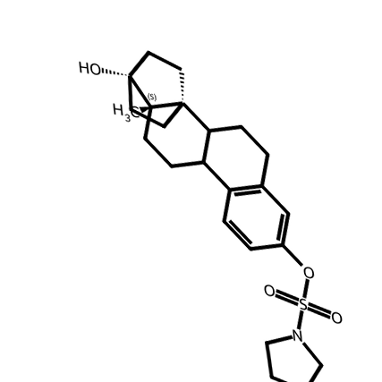 C[C@]12CCC3c4ccc(OS(=O)(=O)N5CCCC5)cc4CCC3[C@]13CC[C@]2(O)CC3